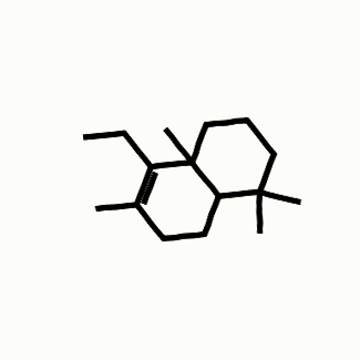 CCC1=C(C)CCC2C(C)(C)CCCC12C